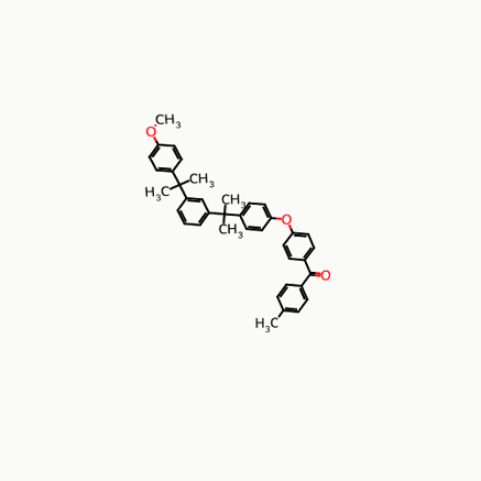 COc1ccc(C(C)(C)c2cccc(C(C)(C)c3ccc(Oc4ccc(C(=O)c5ccc(C)cc5)cc4)cc3)c2)cc1